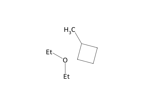 CC1CCC1.CCOCC